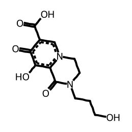 O=C(O)c1cn2c(c(O)c1=O)C(=O)N(CCCO)CC2